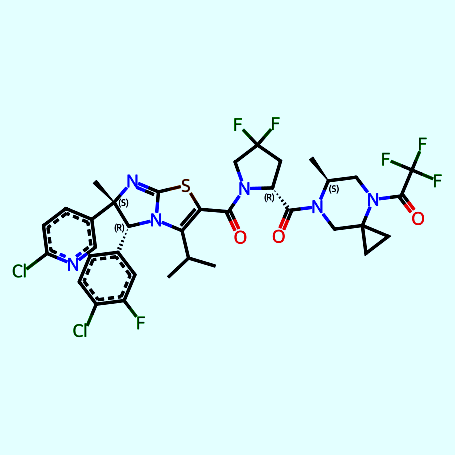 CC(C)C1=C(C(=O)N2CC(F)(F)C[C@@H]2C(=O)N2CC3(CC3)N(C(=O)C(F)(F)F)C[C@@H]2C)SC2=N[C@@](C)(c3ccc(Cl)nc3)[C@@H](c3ccc(Cl)c(F)c3)N21